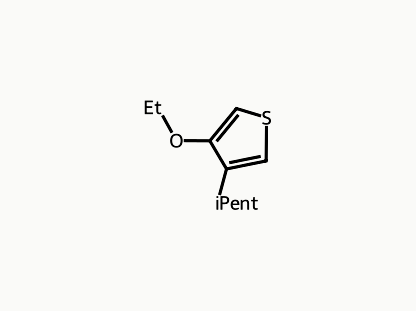 CCCC(C)c1cscc1OCC